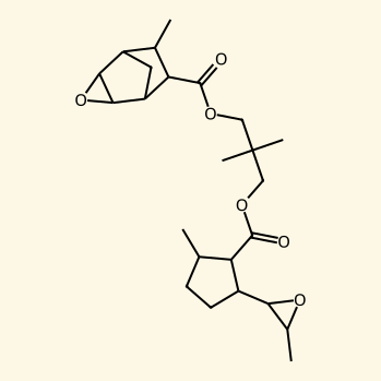 CC1CCC(C2OC2C)C1C(=O)OCC(C)(C)COC(=O)C1C(C)C2CC1C1OC21